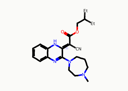 CCC(CC)COC(=O)/C(C#N)=C1\Nc2ccccc2N=C1N1CCCN(C)CC1